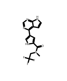 CN(CC(F)(F)F)C(=O)c1cc(-c2ncnc3[nH]ccc23)c[nH]1